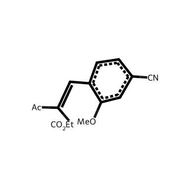 CCOC(=O)/C(=C\c1ccc(C#N)cc1OC)C(C)=O